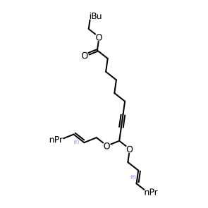 CCC/C=C/COC(C#CCCCCCC(=O)OCC(C)CC)OC/C=C/CCC